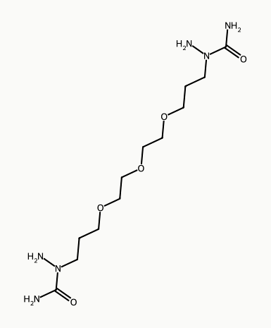 NC(=O)N(N)CCCOCCOCCOCCCN(N)C(N)=O